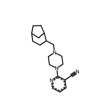 N#Cc1cccnc1N1CCN(CC2CCC3CCC2C3)CC1